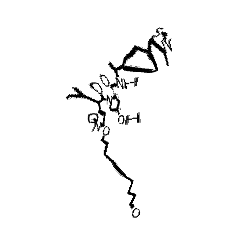 Cc1ncsc1-c1ccc(C(C)NC(=O)[C@@H]2C[C@@H](O)CN2C(=O)C(c2cc(OCCCCCCCCC=O)no2)C(C)C)cc1